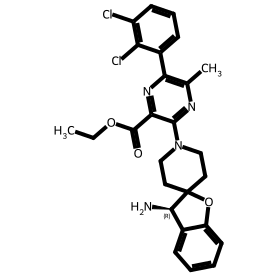 CCOC(=O)c1nc(-c2cccc(Cl)c2Cl)c(C)nc1N1CCC2(CC1)Oc1ccccc1[C@H]2N